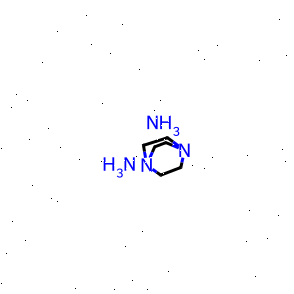 C1CN2CCN1CC2.N.N